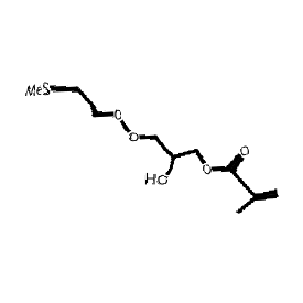 C=C(C)C(=O)OCC(O)COOCCSC